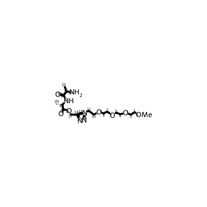 COCCOCCOCCOCCn1cc(COC(=O)[C@H](C)NC(=O)C(C)N)nn1